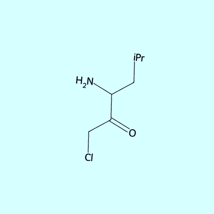 CC(C)CC(N)C(=O)CCl